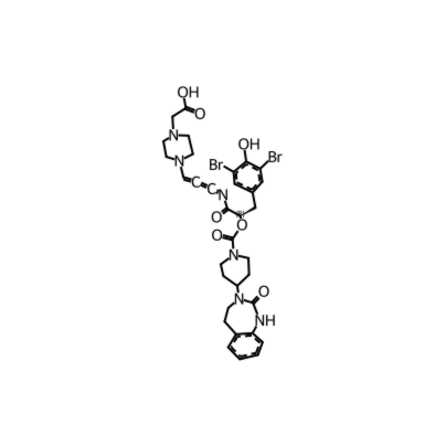 O=C(O)CN1CCN(C=C=C=NC(=O)[C@@H](Cc2cc(Br)c(O)c(Br)c2)OC(=O)N2CCC(N3CCc4ccccc4NC3=O)CC2)CC1